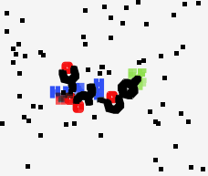 C=C(NC[C@H]1CCC[C@@H](c2ccc(C(F)(F)F)cc2)O1)/C(C)=C(\N=C(/N)C1CCOCC1)C(=O)O